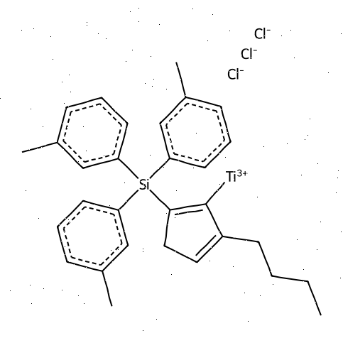 CCCCC1=CCC([Si](c2cccc(C)c2)(c2cccc(C)c2)c2cccc(C)c2)=[C]1[Ti+3].[Cl-].[Cl-].[Cl-]